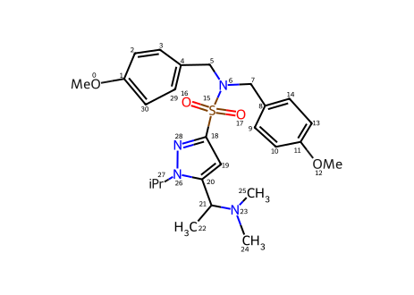 COc1ccc(CN(Cc2ccc(OC)cc2)S(=O)(=O)c2cc(C(C)N(C)C)n(C(C)C)n2)cc1